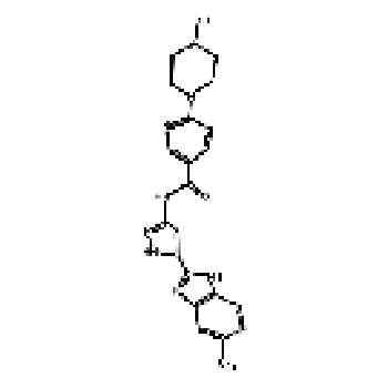 O=C(Nc1cc(-c2nc3cc(C(F)(F)F)ccc3[nH]2)[nH]n1)c1ccc(N2CCC(O)CC2)nc1